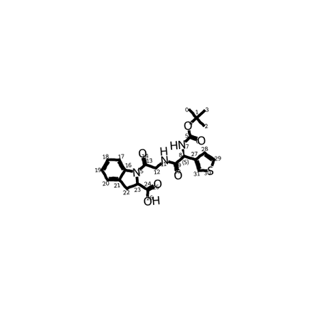 CC(C)(C)OC(=O)N[C@H](C(=O)NCC(=O)N1c2ccccc2CC1C(=O)O)c1ccsc1